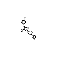 Cc1ccn(C2CCN(c3ncn(Cc4ccc(Cl)cc4)c(=O)n3)CC2)n1